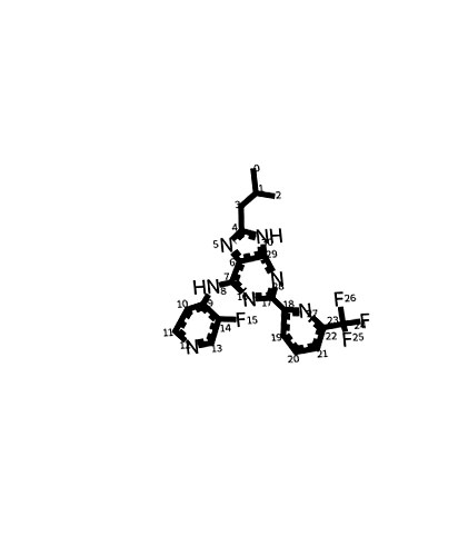 CC(C)Cc1nc2c(Nc3ccncc3F)nc(-c3cccc(C(F)(F)F)n3)nc2[nH]1